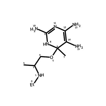 CCNC(C)COC1(C)NC(N)=NC(N)=C1N